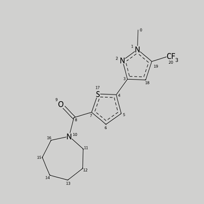 Cn1nc(-c2ccc(C(=O)N3CCCCCC3)s2)cc1C(F)(F)F